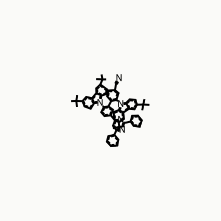 CC(C)(C)c1ccc2c(c1)c1cc(C(C)(C)C)ccc1n2-c1ccc(-c2cc(-c3ccccc3)nc(-c3ccccc3)n2)cc1-c1ccc(C#N)cc1-n1c2ccc(C(C)(C)C)cc2c2cc(C(C)(C)C)ccc21